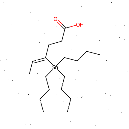 C/C=[C](/CCC(=O)O)[Sn]([CH2]CCC)([CH2]CCC)[CH2]CCC